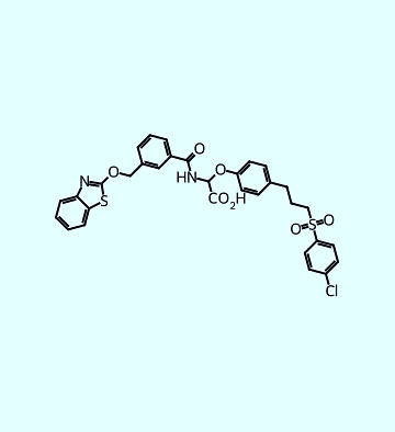 O=C(NC(Oc1ccc(CCCS(=O)(=O)c2ccc(Cl)cc2)cc1)C(=O)O)c1cccc(COc2nc3ccccc3s2)c1